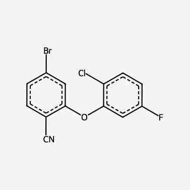 N#Cc1ccc(Br)cc1Oc1cc(F)ccc1Cl